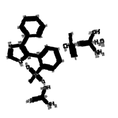 C.C#CC.CS(=O)(=O)c1ccccc1-c1ocnc1-c1ccccc1.NC(O)=S.NC(O)=S.O